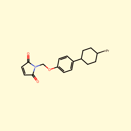 CCCC1CCC(c2ccc(OCN3C(=O)C=CC3=O)cc2)CC1